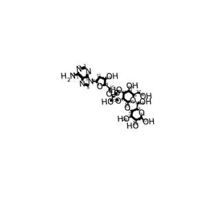 Nc1ncnc2c1ncn2[C@H]1CC(O)[C@@H](COP(=O)(O)O[C@H]2[C@H](O[C@H]3[C@H](O)[C@@H](O)[C@H](O)O[C@@H]3CO)O[C@H](CO)[C@@H](O)[C@@H]2O)O1